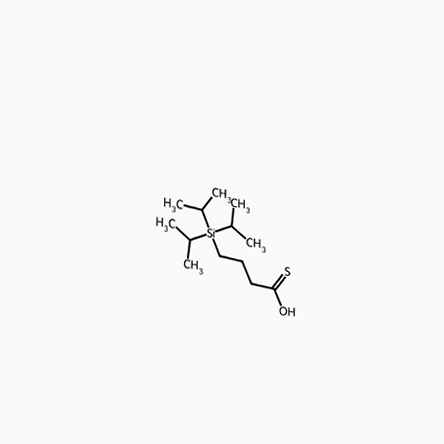 CC(C)[Si](CCCC(O)=S)(C(C)C)C(C)C